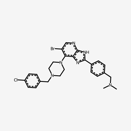 CN(C)Cc1ccc(-c2nc3c(N4CCN(Cc5ccc(Cl)cc5)CC4)c(Br)cnc3[nH]2)cc1